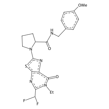 CCn1c(C(F)F)nc2sc(N3CCCC3C(=O)NCc3ccc(OC)cc3)nc2c1=O